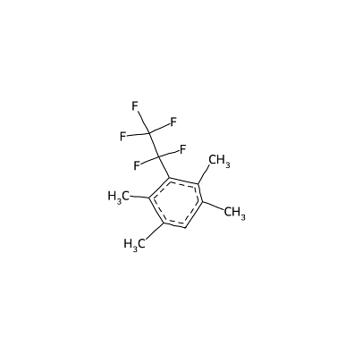 Cc1cc(C)c(C)c(C(F)(F)C(F)(F)F)c1C